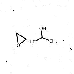 C1CO1.CC(C)O